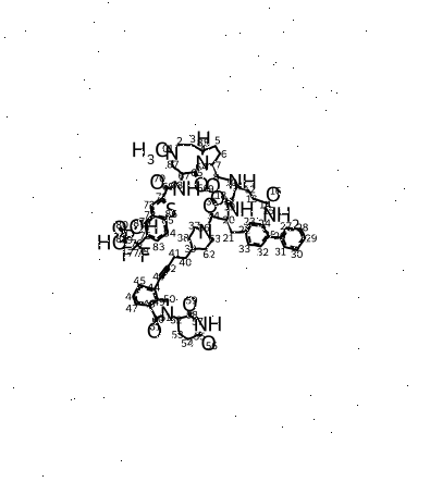 CN1CC[C@H]2CC[C@@H](C(=O)N[C@@H](CCC(N)=O)C(=O)N[C@@H](Cc3ccc(-c4ccccc4)cc3)C(=O)N3CCC(CCC#Cc4cccc5c4CN(C4CCC(=O)NC4=O)C5=O)CC3)N2C(=O)[C@@H](NC(=O)c2cc3cc(C(F)(F)P(=O)(O)O)ccc3s2)C1